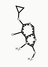 CSc1nc2cnc(OC3CC3)c(Cl)c2n1C